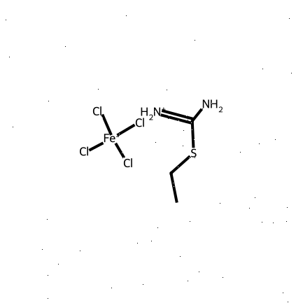 CCSC(N)=[NH2+].[Cl][Fe-]([Cl])([Cl])[Cl]